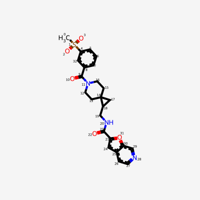 CS(=O)(=O)c1cccc(C(=O)N2CCC3(CC2)CC3CNC(=O)c2cc3ccncc3o2)c1